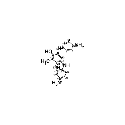 Cc1c(O)c(N=C2C=CC(N)C=C2)cc(Nc2ccc(N)cc2)c1O